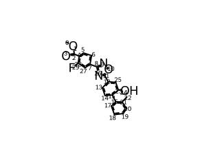 COC(=O)c1ccc(-c2noc(-c3ccc(-c4ccccc4C)c(O)c3)n2)cc1F